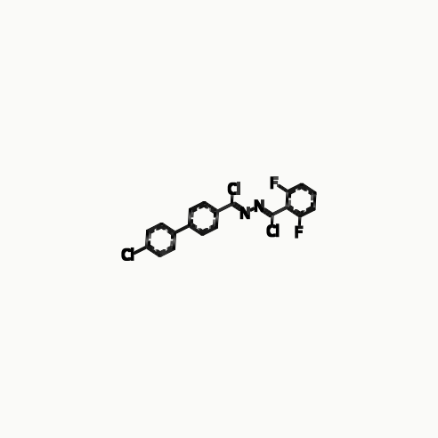 Fc1cccc(F)c1C(Cl)=NN=C(Cl)c1ccc(-c2ccc(Cl)cc2)cc1